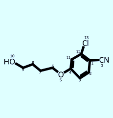 N#Cc1ccc(OCCCCO)cc1Cl